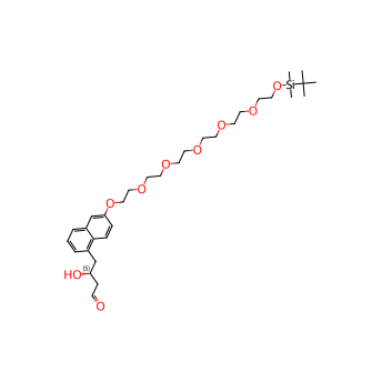 CC(C)(C)[Si](C)(C)OCCOCCOCCOCCOCCOCCOc1ccc2c(C[C@H](O)CC=O)cccc2c1